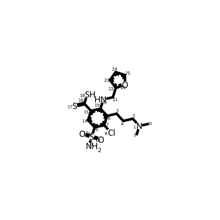 CN(C)CCCc1c(Cl)c(S(N)(=O)=O)cc(C(=S)S)c1NCc1ccco1